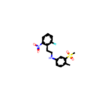 Cc1ccc(NCCc2c(F)cccc2[N+](=O)[O-])cc1S(C)(=O)=O